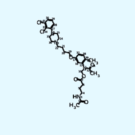 CC(=O)NCCCC(=O)OCN(C(C)=O)c1cc(OCCCCN2CCN(c3cccc(Cl)c3Cl)CC2)ccc1C